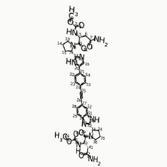 COC(=O)N[C@@H](CC(N)=O)C(=O)N1CCC[C@H]1c1ncc(-c2ccc(C#Cc3ccc4nc([C@@H]5CCCN5C(=O)[C@H](CC(N)=O)NC(=O)OC)[nH]c4c3)cc2)[nH]1